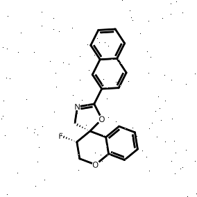 F[C@H]1COc2ccccc2[C@@]12CN=C(c1ccc3ccccc3c1)O2